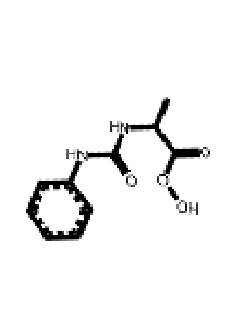 CC(NC(=O)Nc1ccccc1)C(=O)OO